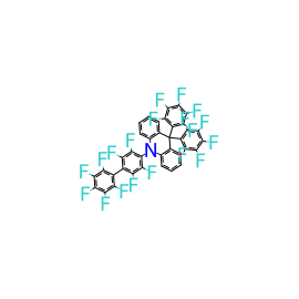 Fc1c(F)c(F)c(-c2c(F)c(F)c(N3c4ccccc4C(c4c(F)c(F)c(F)c(F)c4F)(c4c(F)c(F)c(F)c(F)c4F)c4ccccc43)c(F)c2F)c(F)c1F